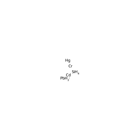 [Cd].[Cr].[Hg].[PbH2].[SiH4]